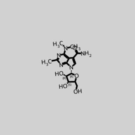 Cc1nc(N(C)C)c2c(C(N)=O)cn([C@@H]3OC(CO)[C@@H](O)[C@H]3O)c2n1